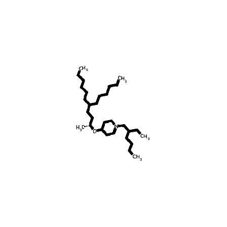 CCCCCCC(CCCCCC)CC[C@@H](C)OC1CCN(CC(CC)CCCC)CC1